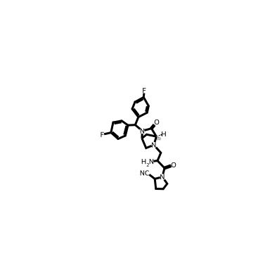 N#CC1CCCN1C(=O)C(N)CN1CC2C[C@H]1C(=O)N2C(c1ccc(F)cc1)c1ccc(F)cc1